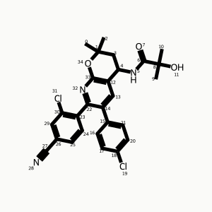 CC1(C)CC(NC(=O)C(C)(C)O)c2cc(-c3ccc(Cl)cc3)c(-c3ccc(C#N)cc3Cl)nc2O1